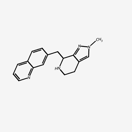 Cn1cc2c(n1)C(Cc1ccc3cccnc3c1)NCC2